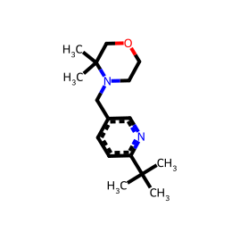 CC(C)(C)c1ccc(CN2CCOCC2(C)C)cn1